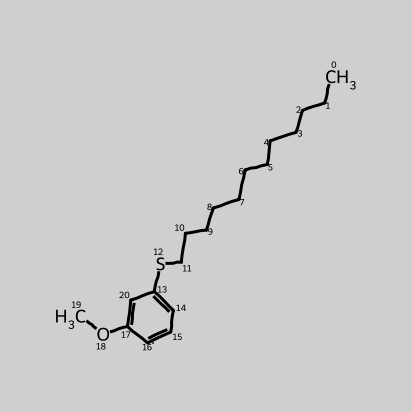 CCCCCCCCCCCCSc1cc[c]c(OC)c1